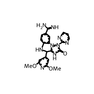 COc1cc(C(Nc2ccc(C(=N)N)cc2)c2nn(-c3ncccn3)c(=O)[nH]2)cc(OC)n1